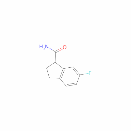 NC(=O)C1CCc2ccc(F)cc21